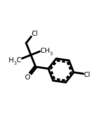 CC(C)(CCl)C(=O)c1ccc(Cl)cc1